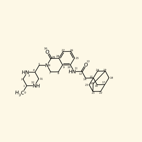 CC1CNC(CN2CCc3c(NC(=O)CC45CC6CC(CC(C6)C4)C5)cccc3C2=O)CN1